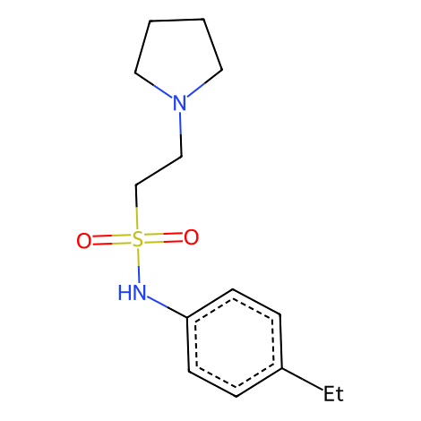 CCc1ccc(NS(=O)(=O)CCN2CCCC2)cc1